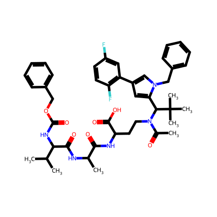 CC(=O)N(CCC(NC(=O)C(C)NC(=O)C(NC(=O)OCc1ccccc1)C(C)C)C(=O)O)C(c1cc(-c2cc(F)ccc2F)cn1Cc1ccccc1)C(C)(C)C